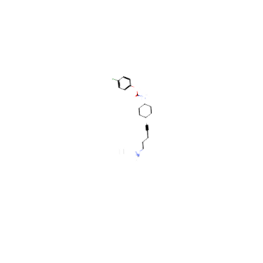 CN(C)CCCC#C[C@H]1CC[C@H](N(C)C(=O)Oc2ccc(Cl)cc2)CC1